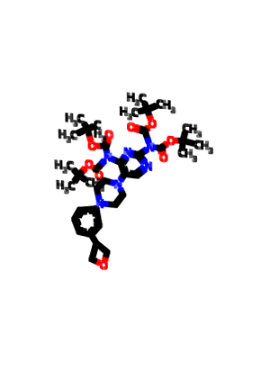 CC(C)(C)OC(=O)N(C(=O)OC(C)(C)C)c1ncc(N2CCN(c3cccc(C4COC4)c3)CC2)c(N(C(=O)OC(C)(C)C)C(=O)OC(C)(C)C)n1